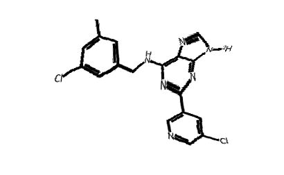 [2H]n1cnc2c(NCc3cc(C)cc(Cl)c3)nc(-c3cncc(Cl)c3)nc21